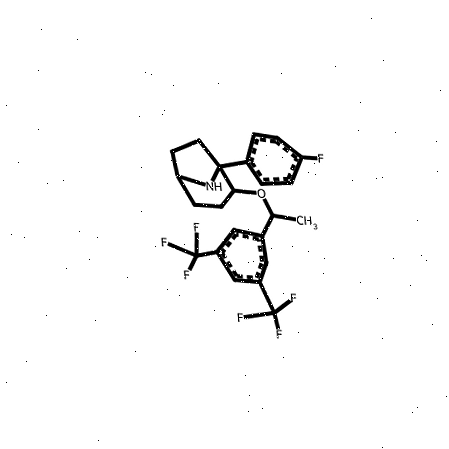 CC(OC1CCC2CCC1(c1ccc(F)cc1)N2)c1cc(C(F)(F)F)cc(C(F)(F)F)c1